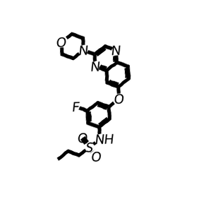 CCCS(=O)(=O)Nc1cc(F)cc(Oc2ccc3ncc(N4CCOCC4)nc3c2)c1